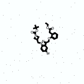 CCOC(=O)Cc1ccccc1OCc1nn(CC2CN(C(=O)OC(C)(C)C)C2)c2ccc(Br)cc12